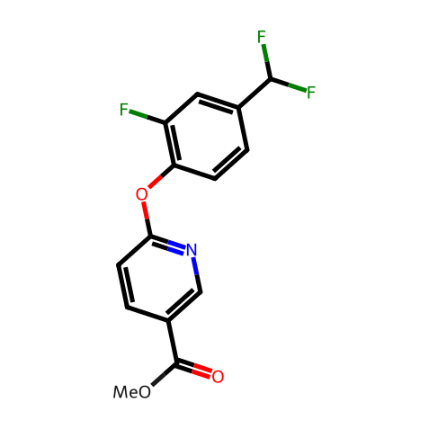 COC(=O)c1ccc(Oc2ccc(C(F)F)cc2F)nc1